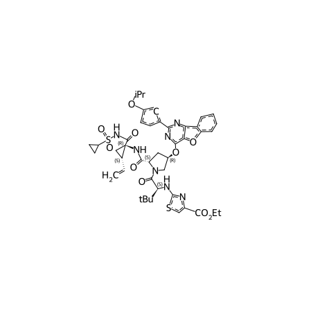 C=C[C@@H]1C[C@]1(NC(=O)[C@@H]1C[C@@H](Oc2nc(-c3ccc(OC(C)C)cc3)nc3c2oc2ccccc23)CN1C(=O)[C@@H](Nc1nc(C(=O)OCC)cs1)C(C)(C)C)C(=O)NS(=O)(=O)C1CC1